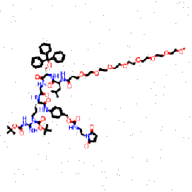 COCCOCCOCCOCCOCCOCCOCCOCCC(=O)N[C@@H](CC(C)C)C(=O)N[C@@H](COC(c1ccccc1)(c1ccccc1)c1ccccc1)C(=O)NCC(=O)N[C@@H](CCCN(C(=N)NC(=O)OC(C)(C)C)C(=O)OC(C)(C)C)C(=O)Nc1ccc(COC(=O)NCCN2C(=O)C=CC2=O)cc1